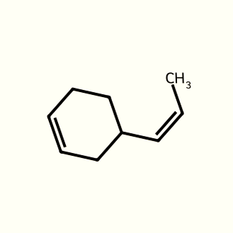 C/C=C\C1CC=CCC1